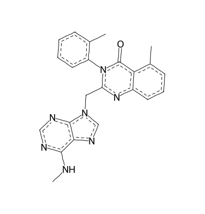 CNc1ncnc2c1ncn2Cc1nc2cccc(C)c2c(=O)n1-c1ccccc1C